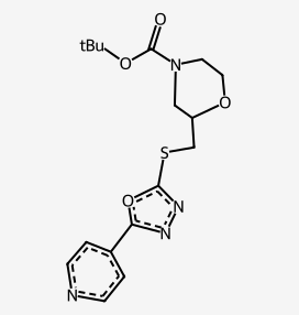 CC(C)(C)OC(=O)N1CCOC(CSc2nnc(-c3ccncc3)o2)C1